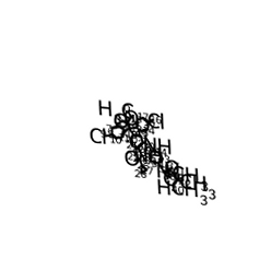 COC(=O)C(c1ccc(Cl)cc1)(c1ccc(Cl)cc1)c1ccc(NC(=O)C2CC2)c(N[C@H]2CC[C@H](NC(=O)OC(C)(C)C)CC2)c1